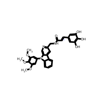 COc1cc(-n2c3ccccc3c3cc(CNC(=O)/C=C/c4cc(O)c(O)c(O)c4)ncc32)cc(OC)c1OC